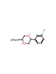 CCCCCC1COC(c2cccc(F)c2)CO1